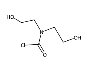 O=C(Cl)N(CCO)CCO